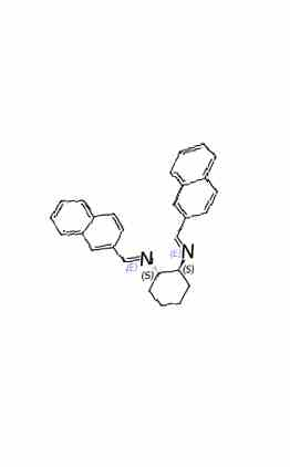 C(=N\[C@H]1CCCC[C@@H]1/N=C/c1ccc2ccccc2c1)/c1ccc2ccccc2c1